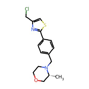 C[C@@H]1COCCN1Cc1ccc(-c2nc(CCl)cs2)cc1